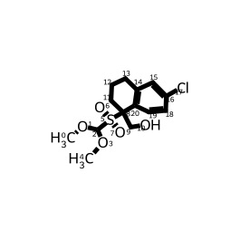 COC(OC)S(=O)(=O)C1(CO)CCCc2cc(Cl)ccc21